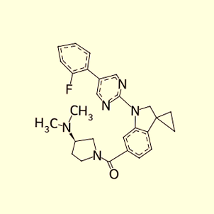 CN(C)[C@@H]1CCN(C(=O)c2ccc3c(c2)N(c2ncc(-c4ccccc4F)cn2)CC32CC2)C1